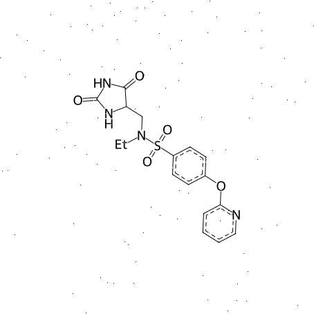 CCN(CC1NC(=O)NC1=O)S(=O)(=O)c1ccc(Oc2ccccn2)cc1